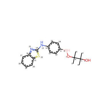 CC(C)(O)C(C)(C)OBc1ccc(Nc2nc3ccccc3s2)cc1